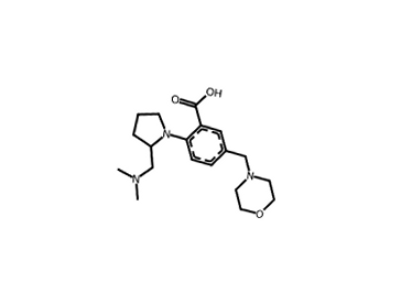 CN(C)CC1CCCN1c1ccc(CN2CCOCC2)cc1C(=O)O